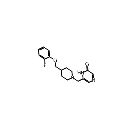 O=c1cncc(CN2CCC(COc3ccccc3F)CC2)[nH]1